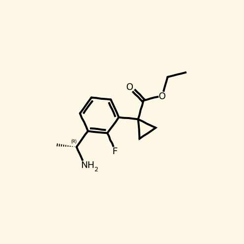 CCOC(=O)C1(c2cccc([C@@H](C)N)c2F)CC1